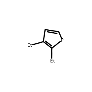 CCC1=C(CC)[P]C=C1